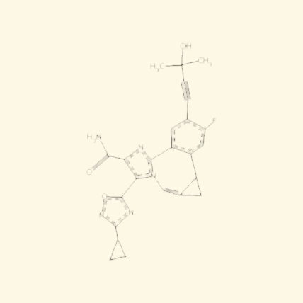 CC(C)(O)C#Cc1cc2c(cc1F)C1CC1=Cn1c-2nc(C(N)=O)c1-c1nc(C2CC2)no1